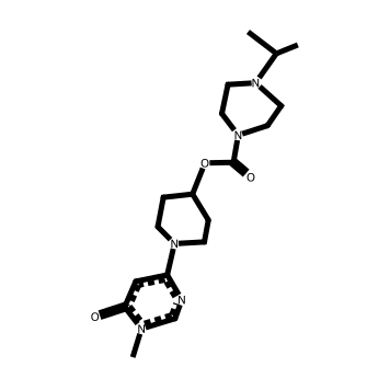 CC(C)N1CCN(C(=O)OC2CCN(c3cc(=O)n(C)cn3)CC2)CC1